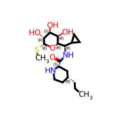 CCC[C@@H]1CCN[C@H](C(=O)N[C@H](C2CC2)[C@H]2O[C@H](SC)[C@H](O)[C@@H](O)[C@H]2O)C1